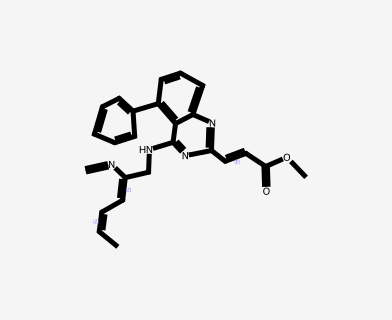 C=N/C(=C\C=C/C)CNc1nc(/C=C/C(=O)OC)nc2cccc(-c3ccccc3)c12